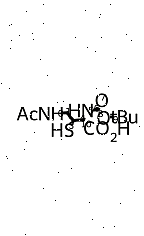 CC(=O)NCC(S)C(NC(=O)OC(C)(C)C)C(=O)O